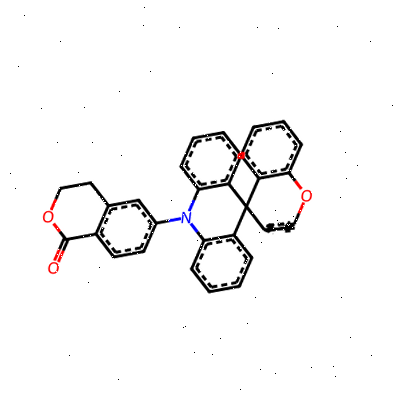 O=C1OCCc2cc(N3c4ccccc4C4(c5ccccc5Oc5ccccc54)c4ccccc43)ccc21